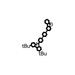 CC(C)(C)c1ccc2c(c1)c1cc(C(C)(C)C)ccc1n2-c1ccc(-c2ccc(-c3ccc4oc5ccccc5c4c3)cc2)cc1